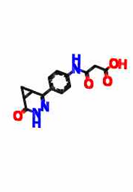 O=C(O)CC(=O)Nc1ccc(C2=NNC(=O)C3CC23)cc1